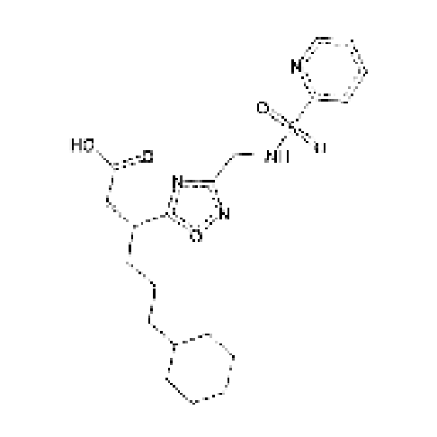 O=C(O)C[C@@H](CCCC1CCCCC1)c1nc(CNS(=O)(=O)c2ccccn2)no1